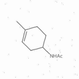 CC(=O)NC1CC=C(C)CC1